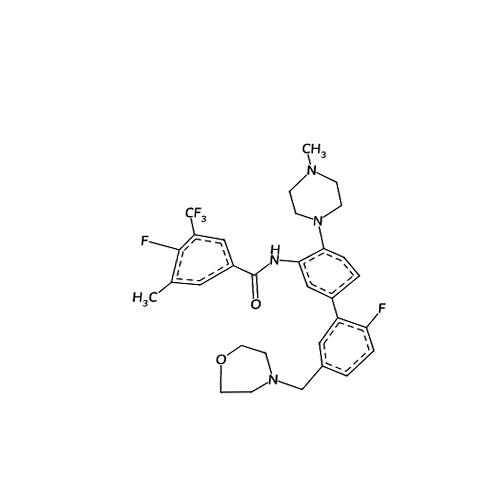 Cc1cc(C(=O)Nc2cc(-c3cc(CN4CCOCC4)ccc3F)ccc2N2CCN(C)CC2)cc(C(F)(F)F)c1F